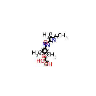 CCCc1ncc(-c2nc(C3C=C(C)C(OCC(O)CO)=C(C)C3)no2)cc1C